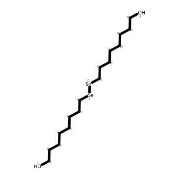 OCCCCCCCC[Se][Se]CCCCCCCCO